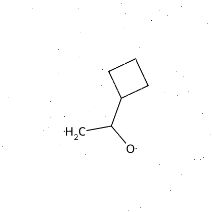 [CH2]C([O])C1CCC1